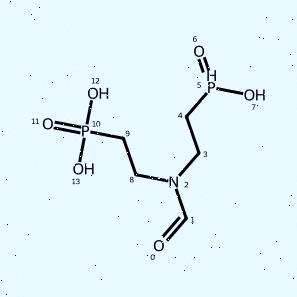 O=CN(CC[PH](=O)O)CCP(=O)(O)O